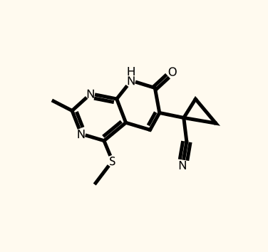 CSc1nc(C)nc2[nH]c(=O)c(C3(C#N)CC3)cc12